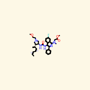 C=C(/C=C\C=C/C)[C@@H]1CN(CCOC)C[C@H]1NC(=O)Nc1c(-c2ccccc2)nc(N(C)CC(=O)OC)c2cc(F)ccc12